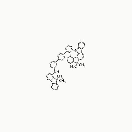 CC1(C)c2cccc3c2-c2c1ccc1c4ccccc4n(c21)-c1cccc(-c2ccc(-c4cccc(Nc5cccc6c5C(C)(C)c5ccccc5-6)c4)cc2)c1-3